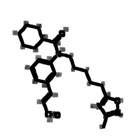 Cc1noc(CCCCCN(C(=O)C2CCCCC2)c2cccc(/C=C/C=O)c2)n1